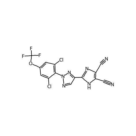 N#Cc1nc(-c2cnn(-c3c(Cl)cc(OC(F)(F)F)cc3Cl)n2)[nH]c1C#N